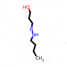 CCCCN[N]CCCO